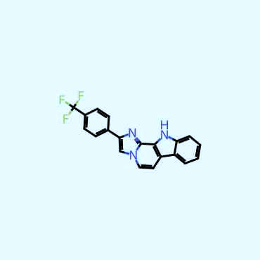 FC(F)(F)c1ccc(-c2cn3ccc4c5ccccc5[nH]c4c3n2)cc1